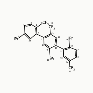 CC(C)c1ccc(C(F)(F)F)c(-c2cc(C(C)C)c(-c3cc(C(F)(F)F)ccc3C(C)C)cc2C(F)(F)F)c1